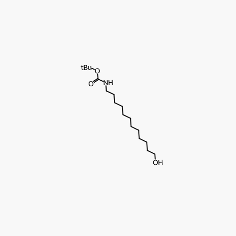 CC(C)(C)OC(=O)NCCCCCCCCCCCCO